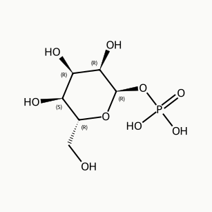 O=P(O)(O)O[C@H]1O[C@H](CO)[C@@H](O)[C@@H](O)[C@H]1O